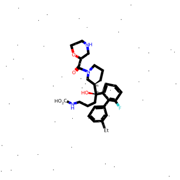 CCc1cccc(-c2c(F)cccc2[C@](O)(CCCNC(=O)O)[C@@H]2CCCN(C(=O)C3CNCCO3)C2)c1